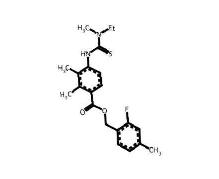 CCN(C)C(=S)Nc1ccc(C(=O)OCc2ccc(C)cc2F)c(C)c1C